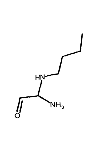 CCCCNC(N)C=O